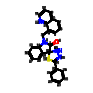 O=C1N(Cc2cccc3cccnc23)c2ccccc2C12NN=C(c1ccccc1)S2